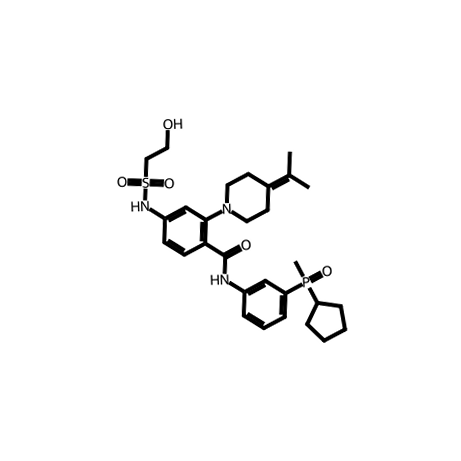 CC(C)=C1CCN(c2cc(NS(=O)(=O)CCO)ccc2C(=O)Nc2cccc(P(C)(=O)C3CCCC3)c2)CC1